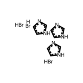 Br.Br.Br.c1c[nH]cn1.c1c[nH]cn1.c1c[nH]cn1